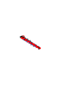 CC(C)=CCC/C(C)=C/C=C/C(C)=C/C=C/C(C)=C/C=C/C=C(C)/C=C/C=C(\C)CC/C=C(\C)CC(=O)C=C(C)C